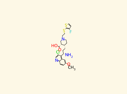 COc1ccc2ncc(Cl)c([C@@H](N)CC[C@H]3CCN(CCSc4sccc4F)C[C@H]3C(=O)O)c2c1